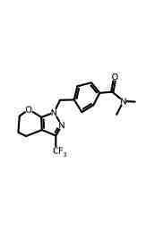 CN(C)C(=O)c1ccc(Cn2nc(C(F)(F)F)c3c2OCCC3)cc1